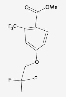 COC(=O)c1ccc(OCC(C)(F)F)cc1C(F)(F)F